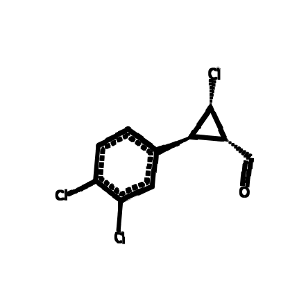 O=C[C@H]1[C@@H](Cl)[C@@H]1c1ccc(Cl)c(Cl)c1